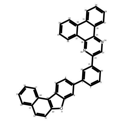 c1cc(-c2ccc3c(c2)oc2ccc4ccccc4c23)cc(-c2cnc3c4ccccc4c4ccccc4c3n2)c1